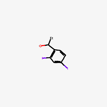 CCC([O])c1ccc(I)cc1I